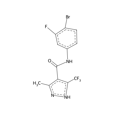 Cc1n[nH]c(C(F)(F)F)c1C(=O)Nc1ccc(Br)c(F)c1